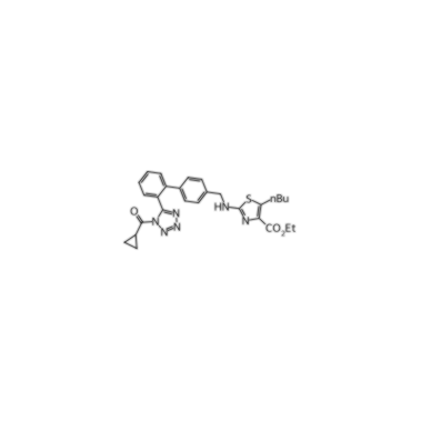 CCCCc1sc(NCc2ccc(-c3ccccc3-c3nnnn3C(=O)C3CC3)cc2)nc1C(=O)OCC